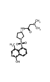 Cc1cnc(O)c2cccc(S(=O)(=O)N3CC[C@H](NC(=O)CN(C)C)C3)c12